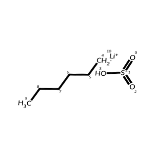 O=[S-](=O)O.[CH2]CCCCC.[Li+]